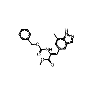 COC(=O)/C(=C/c1cc(C)c2[nH]ncc2c1)NC(=O)OCc1ccccc1